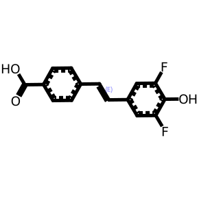 O=C(O)c1ccc(/C=C/c2cc(F)c(O)c(F)c2)cc1